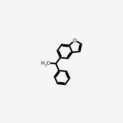 CC(c1ccccc1)c1ccc2occc2c1